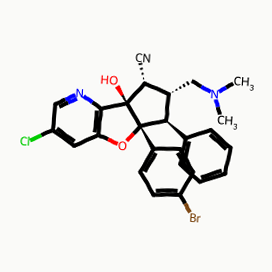 CN(C)C[C@H]1[C@@H](C#N)[C@@]2(O)c3ncc(Cl)cc3O[C@@]2(c2ccc(Br)cc2)[C@@H]1c1ccccc1